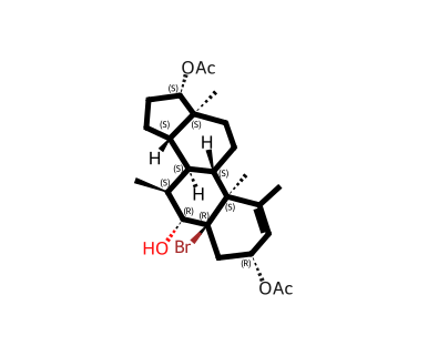 CC(=O)O[C@H]1CC[C@H]2[C@@H]3[C@H](C)[C@@H](O)[C@@]4(Br)C[C@@H](OC(C)=O)C=C(C)[C@]4(C)[C@H]3CC[C@]12C